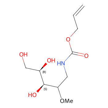 C=CCOC(=O)NCC(OC)[C@@H](O)[C@H](O)CO